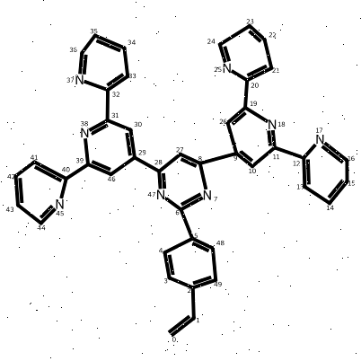 C=Cc1ccc(-c2nc(-c3cc(-c4ccccn4)nc(-c4ccccn4)c3)cc(-c3cc(-c4ccccn4)nc(-c4ccccn4)c3)n2)cc1